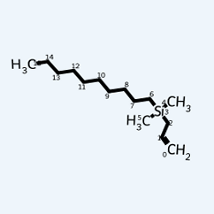 C=CC[Si](C)(C)CCCCCCCCCC